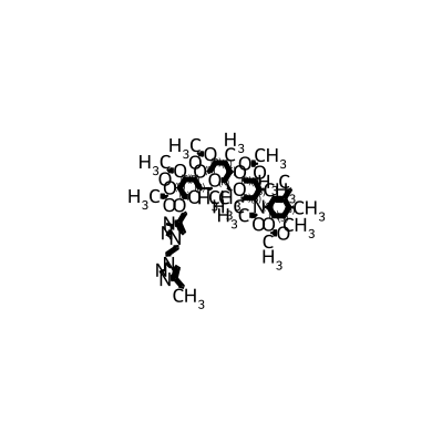 CCC1=C[C@H](N(C(C)=O)[C@H]2[C@H](C)[C@@H](OC(C)=O)[C@@H](O[C@H]3[C@H](C)[C@@H](OC(C)=O)[C@@H](O[C@H]4[C@H](OC(C)=O)[C@@H](OC(C)=O)[C@H](OCc5cn(CCn6cc(CC)nn6)nn5)O[C@@H]4CC)O[C@@H]3CC)O[C@@H]2C)[C@H](OC(C)=O)[C@@H](C)[C@@H]1C